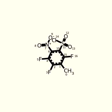 Cc1c(F)c(F)c([N+](=O)[O-])c(S(=O)(=O)Cl)c1F